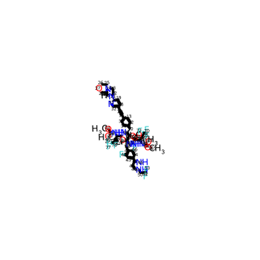 COC(=O)N[C@H](C(=O)N[C@@H](Cc1ccc(C#Cc2ccc(N3CCN4CCOC[C@H]4C3)nc2)cc1)[C@@H](O)CN(Cc1c(F)cc(C(=N)/C=C\NCC(F)F)cc1F)NC(=O)[C@@H](NC(=O)OC)C(C)(C)C(F)(F)F)C(C)(C)C(F)(F)F